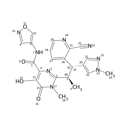 C[C@@H](c1nc(C(=O)Nc2cnoc2)c(O)c(=O)n1C)[C@@H](c1cnn(C)c1)c1cccnc1C#N